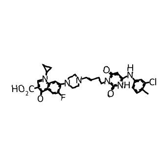 Cc1ccc(Nc2cc(=O)n(CCCCN3CCN(c4cc5c(cc4F)c(=O)c(C(=O)O)cn5C4CC4)CC3)c(=O)[nH]2)cc1Cl